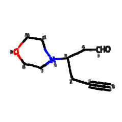 [C]#CCC(CC=O)N1CCOCC1